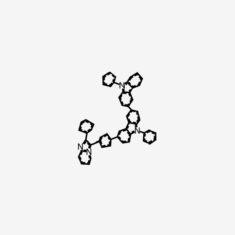 c1ccc(-c2nc3ccccn3c2-c2ccc(-c3ccc4c(c3)c3cc(-c5ccc6c(c5)c5ccccc5n6-c5ccccc5)ccc3n4-c3ccccc3)cc2)cc1